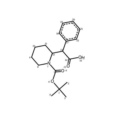 CC(C)(C)OC(=O)N1CCCCC1C(C(=O)O)c1ccccc1